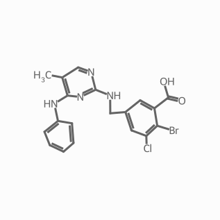 Cc1cnc(NCc2cc(Cl)c(Br)c(C(=O)O)c2)nc1Nc1ccccc1